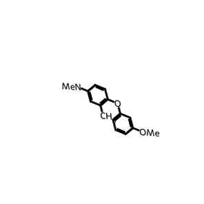 CNc1ccc(Oc2cccc(OC)c2)c(C)c1